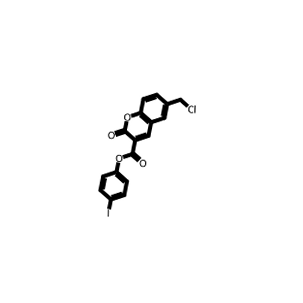 O=C(Oc1ccc(I)cc1)c1cc2cc(CCl)ccc2oc1=O